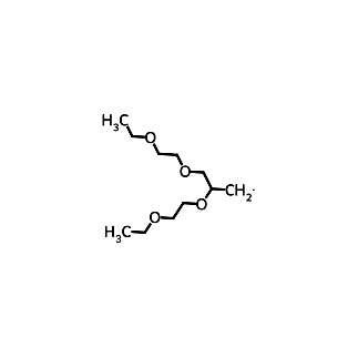 [CH2]C(COCCOCC)OCCOCC